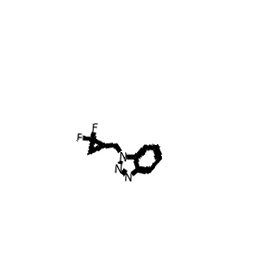 FC1(F)CC1Cn1nnc2ccccc21